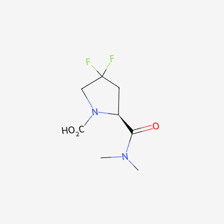 CN(C)C(=O)[C@@H]1CC(F)(F)CN1C(=O)O